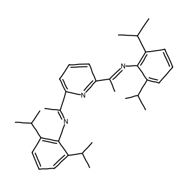 CC(=Nc1c(C(C)C)cccc1C(C)C)c1cccc(C(C)=Nc2c(C(C)C)cccc2C(C)C)n1